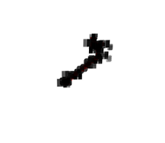 COc1ccc(NC(=O)/C=C/CN(C)CCCCNC(=O)CCCC(=O)NCCCOCCOCCOCCCNC(=O)CCCCC2SC[C@@H]3NC(=O)N[C@H]23)cc1Nc1cc(Nc2ccc(F)c(I)c2)ncn1